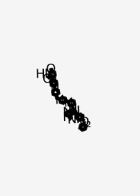 Nc1ncnc2c1c(-c1ccc(Oc3ccccc3)cc1)nn2[C@H]1CCCN(C2CCN(CC3CCN(c4ccc(N5CCC(=O)NC5=O)cc4)CC3)CC2)C1